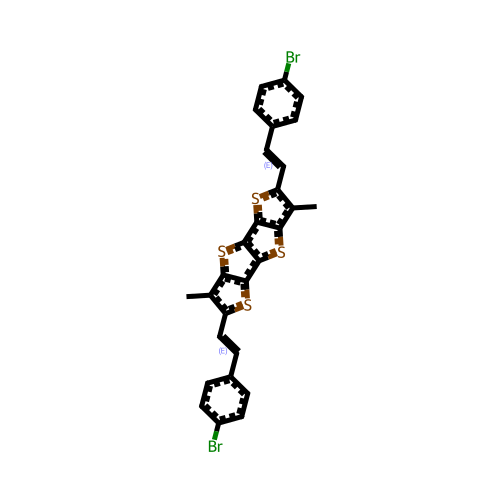 Cc1c(/C=C/c2ccc(Br)cc2)sc2c1sc1c3sc(/C=C/c4ccc(Br)cc4)c(C)c3sc21